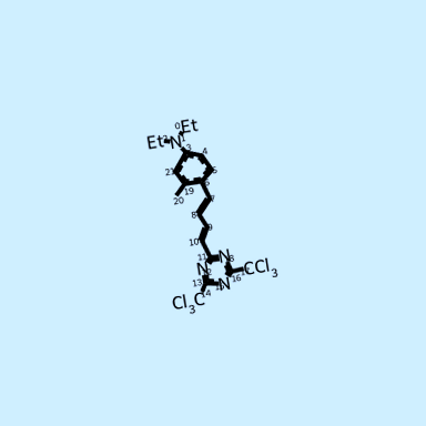 CCN(CC)c1ccc(C=CC=Cc2nc(C(Cl)(Cl)Cl)nc(C(Cl)(Cl)Cl)n2)c(C)c1